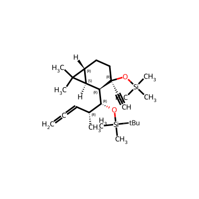 C#C[C@@]1(O[Si](C)(C)C)CC[C@@H]2[C@@H]([C@@H]1[C@H](O[Si](C)(C)C(C)(C)C)[C@H](C)C=C=C)C2(C)C